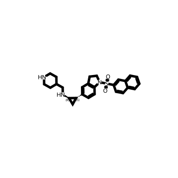 O=S(=O)(c1ccc2ccccc2c1)N1CCc2cc([C@@H]3C[C@H]3NCC3CCNCC3)ccc21